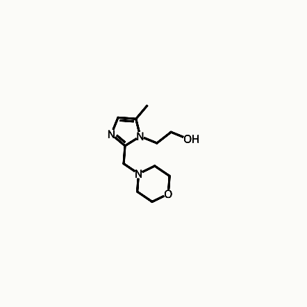 Cc1cnc(CN2CCOCC2)n1CCO